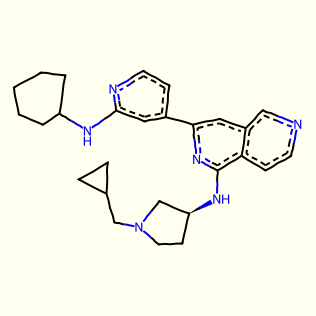 c1cc2c(N[C@H]3CCN(CC4CC4)C3)nc(-c3ccnc(NC4CCCCC4)c3)cc2cn1